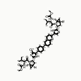 COC(=O)N[C@H](C(=O)N1[C@@H]2C[C@@H]2C[C@H]1c1ncc(-c2ccc3cc(-c4ccc(-c5[nH]c([C@@H]6C[C@H]7C[C@H]7N6C(=O)[C@@H](NC(=O)OC)C(C)C)nc5Cl)cc4)ccc3n2)[nH]1)C(C)C